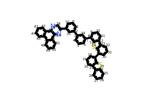 c1cc(-c2cccc(-c3cccc4c3sc3c(-c5cccc6c5sc5ccccc56)cccc34)c2)cc(-c2cnc3c4ccccc4c4ccccc4c3n2)c1